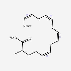 CCCCC/C=C\C/C=C\C/C=C\C/C=C\CCC(C)C(=O)OC